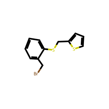 BrCc1ccccc1SCc1cccs1